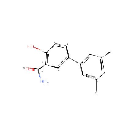 Cc1cc(C)cc(-c2ccc(O)c(C(N)=O)c2)c1